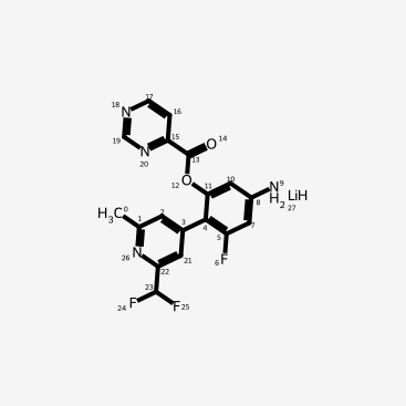 Cc1cc(-c2c(F)cc(N)cc2OC(=O)c2ccncn2)cc(C(F)F)n1.[LiH]